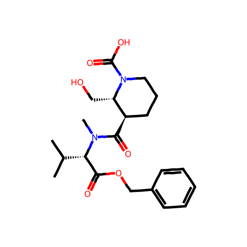 CC(C)[C@@H](C(=O)OCc1ccccc1)N(C)C(=O)[C@@H]1CCCN(C(=O)O)[C@H]1CO